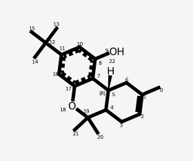 CC1=CCC2[C@@H](C1)c1c(O)cc(C(C)(C)C)cc1OC2(C)C